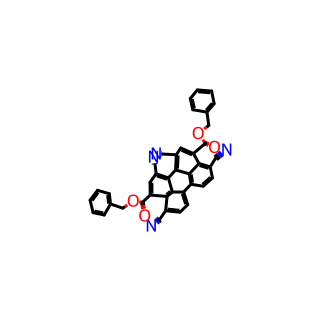 N#Cc1ccc2c3ccc(C#N)c4c(C(=O)OCc5ccccc5)cc(C#N)c(c5c(C#N)cc(C(=O)OCc6ccccc6)c1c25)c43